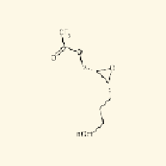 CCCCCCCCCCC[C@H]1O[C@H]1COC(=O)C(F)(F)F